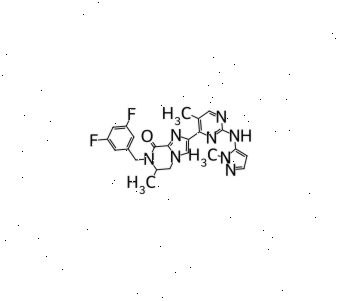 Cc1cnc(Nc2ccnn2C)nc1-c1cn2c(n1)C(=O)N(Cc1cc(F)cc(F)c1)C(C)C2